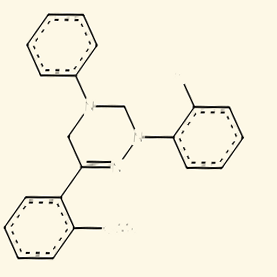 COc1ccccc1C1=NN(c2ccccc2Br)CN(c2ccccc2)C1